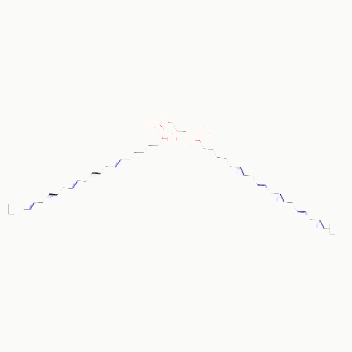 CC/C=C/C/C=C/C/C=C/C/C=C/C/C=C/CCCCCC(=O)OCC(CO)OC(=O)CCCCC/C=C/C/C=C/C/C=C/C/C=C/C/C=C/CC